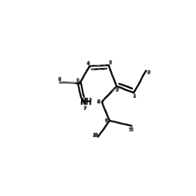 C/C=C(\C=C/C(C)=N)CC(C)C